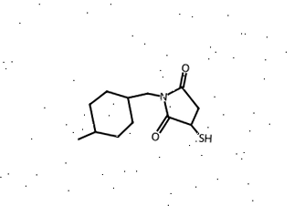 CC1CCC(CN2C(=O)CC(S)C2=O)CC1